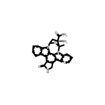 CC12OC(C[C@]1(N)C(N)=O)n1c3ccccc3c3c4c(c5c6ccccc6n2c5c31)CNC4=O